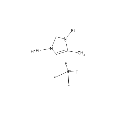 CCN1C=C(C)N(CC)C1.F[B-](F)(F)F.[H+]